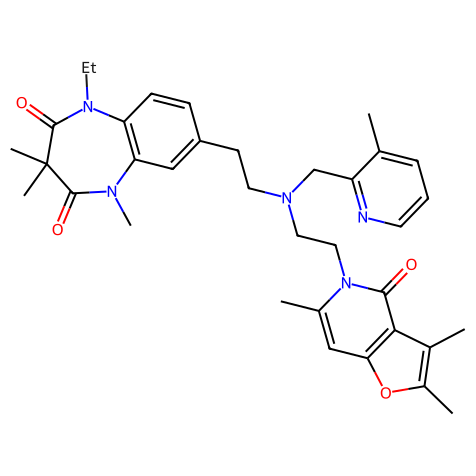 CCN1C(=O)C(C)(C)C(=O)N(C)c2cc(CCN(CCn3c(C)cc4oc(C)c(C)c4c3=O)Cc3ncccc3C)ccc21